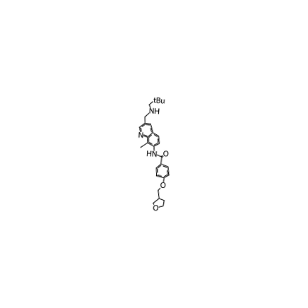 Cc1c(NC(=O)c2ccc(OCC3CCOC3)cc2)ccc2cc(CNCC(C)(C)C)cnc12